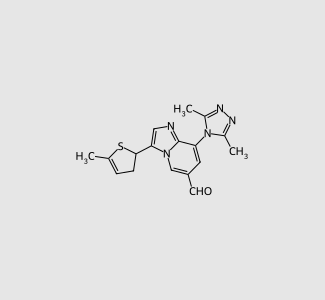 CC1=CCC(c2cnc3c(-n4c(C)nnc4C)cc(C=O)cn23)S1